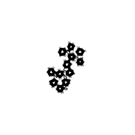 c1ccc(N(c2ccccc2)c2cc(-c3ccc4sc5c(N(c6ccc7sc8ccccc8c7c6)c6ccc7c8ccccc8n(-c8ccccc8)c7c6)cccc5c4c3)cc(N(c3ccccc3)c3ccccc3)c2)cc1